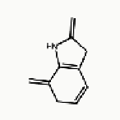 C=C1CC2=C(N1)C(=C)CC=C2